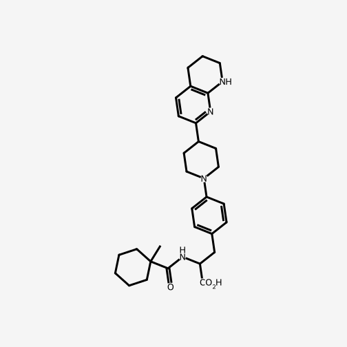 CC1(C(=O)NC(Cc2ccc(N3CCC(c4ccc5c(n4)NCCC5)CC3)cc2)C(=O)O)CCCCC1